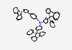 c1ccc(C2(c3ccc(N(c4ccc(-c5cccc(-n6c7ccccc7c7ccccc76)c5)cc4)c4ccc(C5(c6ccccc6)c6ccccc6-c6ccccc65)cc4)cc3)c3ccccc3-c3ccccc32)cc1